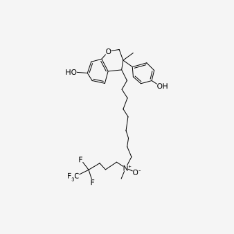 CC1(c2ccc(O)cc2)COc2cc(O)ccc2C1CCCCCCCCC[N+](C)([O-])CCCC(F)(F)C(F)(F)F